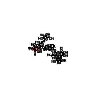 C=C1C[C@@]23CCC4[C@](C)(C(=O)OC5OC(CO)C(O)C(OC6OC(CO)C(O)C(O)C6O)C5OC5OC(CO)C(O)C(O)C5O)CCC[C@@]4(C)[C@@H]2CC[C@]1(OC1OC(COC2OC(CO)C(O)C(O)C2O)C(O)C(OC2OC(CO)C(O)C(O)C2N=O)C1OC1OC(CO)C(O)CC1O)C3